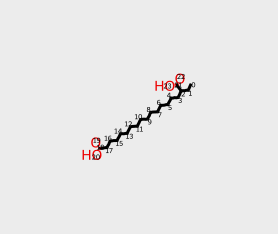 CCC(CCCCCCCCCCCCCCCC(=O)O)C(=O)O